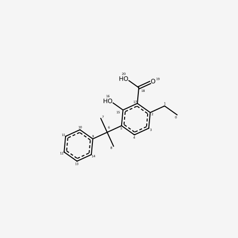 CCc1ccc(C(C)(C)c2ccccc2)c(O)c1C(=O)O